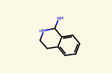 [NH]C1NCCc2ccccc21